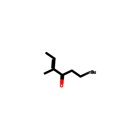 CC=C(C)C(=O)CCCCCC